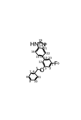 Fc1cc(OCc2ccccc2)cc(-c2ccc3[nH]cnc3c2)c1